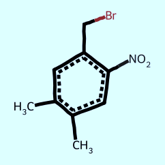 Cc1cc(CBr)c([N+](=O)[O-])cc1C